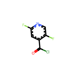 O=C(Cl)c1cc(F)ncc1F